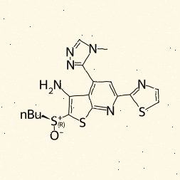 CCCC[S@+]([O-])c1sc2nc(-c3nccs3)cc(-c3nncn3C)c2c1N